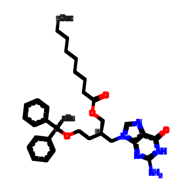 CCCCCCCCCCCCCCCCCC(=O)OC[C@H](CCO[Si](CCCC)(c1ccccc1)c1ccccc1)Cn1cnc2c(=O)[nH]c(N)nc21